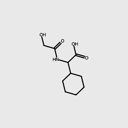 O=C(CO)NC(C(=O)O)C1CCCCC1